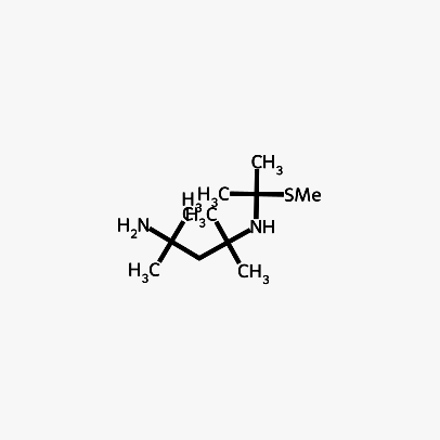 CSC(C)(C)NC(C)(C)CC(C)(C)N